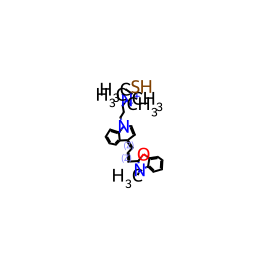 CN1c2ccccc2OC1/C=C\C=C1\C=CN(CCC[N+](C)(C)C(C)(C)S)c2ccccc21